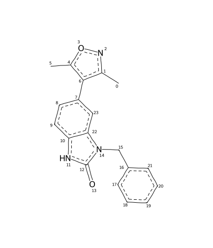 Cc1noc(C)c1-c1ccc2[nH]c(=O)n(Cc3ccccc3)c2c1